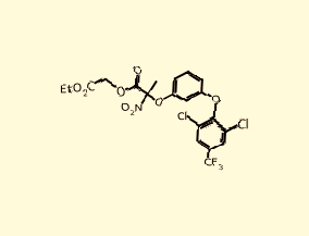 CCOC(=O)COC(=O)C(C)(Oc1cccc(Oc2c(Cl)cc(C(F)(F)F)cc2Cl)c1)[N+](=O)[O-]